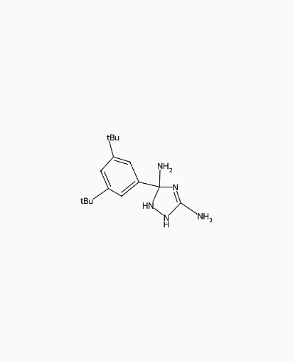 CC(C)(C)c1cc(C(C)(C)C)cc(C2(N)N=C(N)NN2)c1